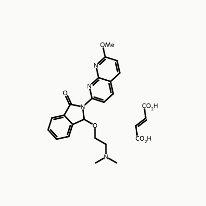 COc1ccc2ccc(N3C(=O)c4ccccc4C3OCCN(C)C)nc2n1.O=C(O)C=CC(=O)O